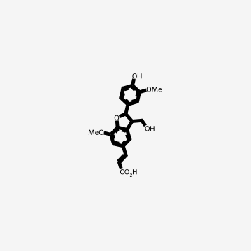 COc1cc(C2Oc3c(OC)cc(/C=C/C(=O)O)cc3C2CO)ccc1O